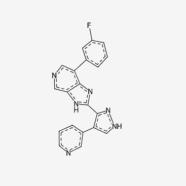 Fc1cccc(-c2cncc3[nH]c(-c4n[nH]cc4-c4cccnc4)nc23)c1